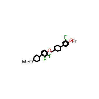 CCOc1ccc(C2CCC(COc3ccc(C4CCC(OC)CC4)c(F)c3F)CC2)cc1F